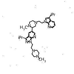 CC(C)c1cn(CCN2CCN(C)C(c3cnc4c(c3)c(C(C)C)nn4CCN3CCN(C)CC3)C2)c2ncccc12